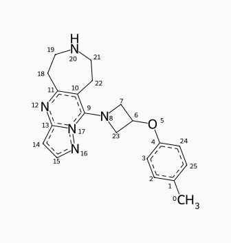 Cc1ccc(OC2CN(c3c4c(nc5ccnn35)CCNCC4)C2)cc1